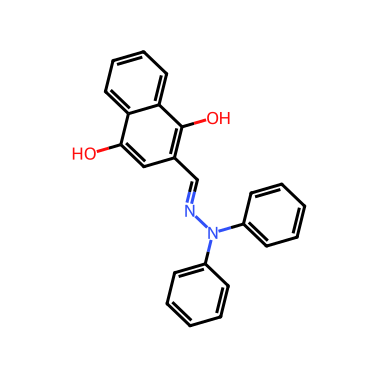 Oc1cc(C=NN(c2ccccc2)c2ccccc2)c(O)c2ccccc12